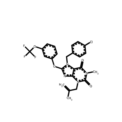 C=C(C)Cn1c(=O)n(C)c(=O)c2c1nc(Oc1cccc(OC(F)(F)F)c1)n2Cc1ccc(Cl)cc1